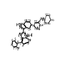 Fc1ccccc1-c1ccnc2[nH]c(-c3n[nH]c4ccc(-c5cncc(CN6CCCCC6)c5)cc34)nc12